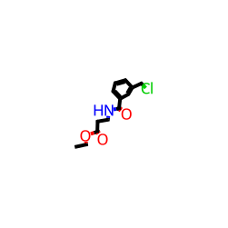 CCOC(=O)CCNC(=O)c1cccc(CCl)c1